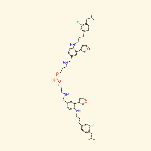 CC(C)Cc1ccc(CCCNc2ccc(CNCCCO[PH](=O)OCCCNCc3ccc(NCCCc4ccc(CC(C)C)c(F)c4)c(-c4ccoc4)c3)cc2-c2ccoc2)cc1F